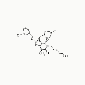 Cn1c(=O)n(CCOCCO)c(=O)c2c1nc(OCc1cccc(Cl)c1)n2Cc1ccc(Cl)cc1